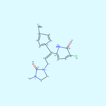 CN1CCN(CC=C(c2ccc(C(C)(C)C)cc2)c2ccc(Cl)c(=O)[nH]2)C1=O